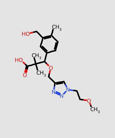 COCCn1cc(COC(c2ccc(C)c(CO)c2)C(C)(C)C(=O)O)nn1